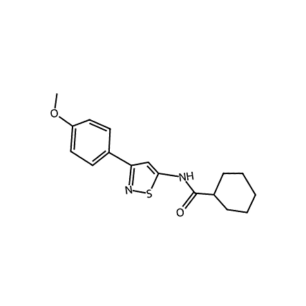 COc1ccc(-c2cc(NC(=O)C3CCCCC3)sn2)cc1